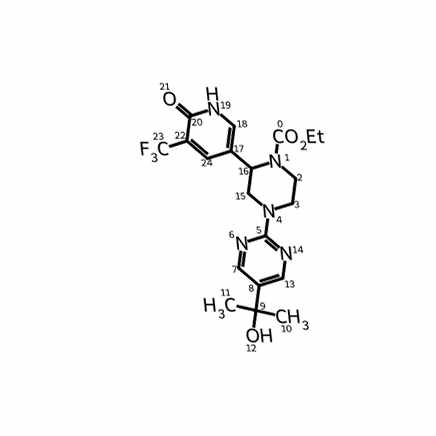 CCOC(=O)N1CCN(c2ncc(C(C)(C)O)cn2)CC1c1c[nH]c(=O)c(C(F)(F)F)c1